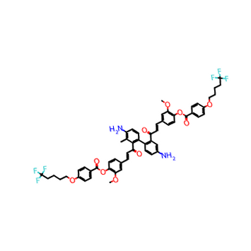 COc1cc(C=CC(=O)c2cc(N)ccc2-c2ccc(N)c(C)c2C(=O)C=Cc2ccc(OC(=O)c3ccc(OCCCCC(F)(F)F)cc3)c(OC)c2)ccc1OC(=O)c1ccc(OCCCCC(F)(F)F)cc1